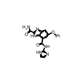 CC(C)Oc1cc(C(=O)Nc2ncc[nH]2)c2[nH]c(C(N)=O)nc2c1